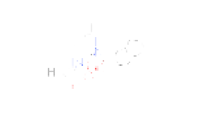 CC(C)[C@H](NC(=O)c1ccc2ccccc2c1)C(=O)N[C@@H](C)C(=O)O